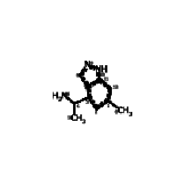 Cc1cc(C(C)N)c2cn[nH]c2c1